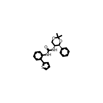 CC1(C)OC[C@H](NC(=O)Nc2ccccc2-c2cccs2)[C@H](c2ccccc2)O1